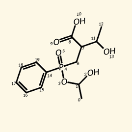 CC(O)OP(=O)(CC(C(=O)O)C(C)O)c1ccccc1